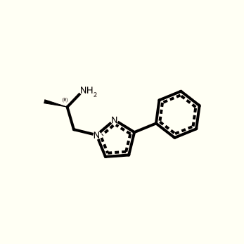 C[C@@H](N)Cn1ccc(-c2ccccc2)n1